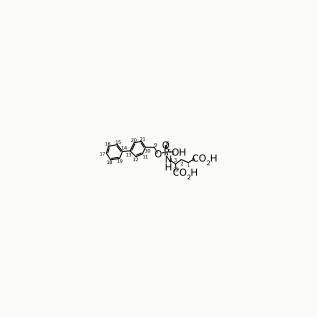 O=C(O)CCC(NP(=O)(O)OCc1ccc(-c2ccccc2)cc1)C(=O)O